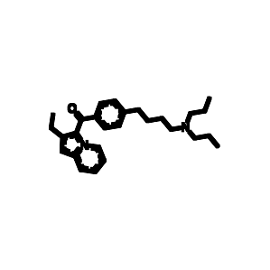 CCCN(CCC)CCCCc1ccc(C(=O)c2c(CC)cc3ccccn23)cc1